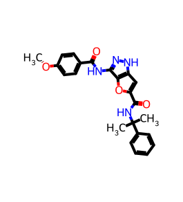 COc1ccc(C(=O)Nc2n[nH]c3cc(C(=O)NC(C)(C)c4ccccc4)oc23)cc1